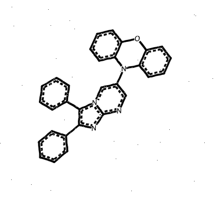 c1ccc(-c2nc3ncc(N4c5ccccc5Oc5ccccc54)cn3c2-c2ccccc2)cc1